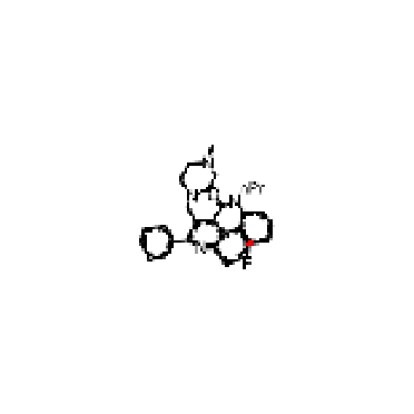 CCCN(C(=O)c1c(CN2CCN(C)CC2)c(-c2ccccc2)nc2ccccc12)c1cccc(F)c1